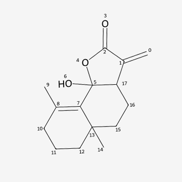 C=C1C(=O)OC2(O)C3=C(C)CCCC3(C)CCC12